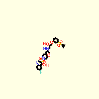 O=S(=O)(c1cccc(OCC(O)CN[C@H]2COC3(CCN(S(=O)(=O)c4cnc5ccc(F)cc5c4O)CC3)C2)c1)C1CC1